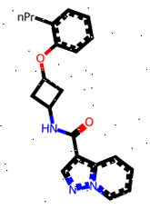 CCCc1ccccc1OC1CC(NC(=O)c2cnn3ccccc23)C1